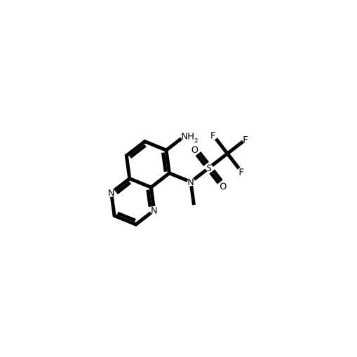 CN(c1c(N)ccc2nccnc12)S(=O)(=O)C(F)(F)F